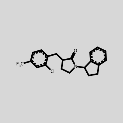 O=C1C(Cc2ccc(C(F)(F)F)cc2Cl)CCN1C1CCc2ccccc21